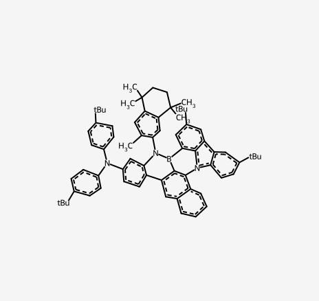 Cc1cc2c(cc1N1B3c4c(cc5ccccc5c4-n4c5ccc(C(C)(C)C)cc5c5cc(C(C)(C)C)cc3c54)-c3ccc(N(c4ccc(C(C)(C)C)cc4)c4ccc(C(C)(C)C)cc4)cc31)C(C)(C)CCC2(C)C